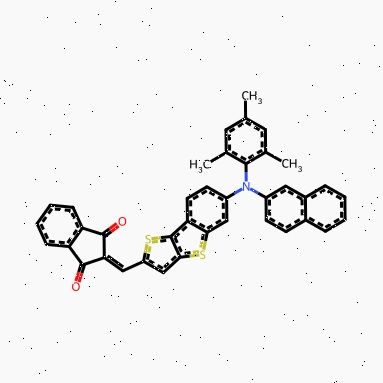 Cc1cc(C)c(N(c2ccc3ccccc3c2)c2ccc3c(c2)sc2cc(C=C4C(=O)c5ccccc5C4=O)sc23)c(C)c1